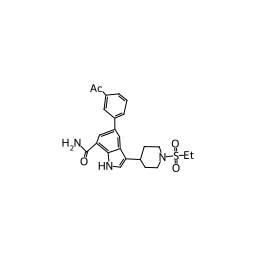 CCS(=O)(=O)N1CCC(c2c[nH]c3c(C(N)=O)cc(-c4cccc(C(C)=O)c4)cc23)CC1